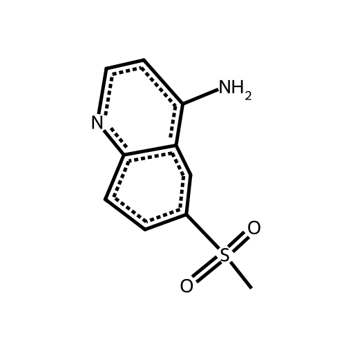 CS(=O)(=O)c1ccc2nccc(N)c2c1